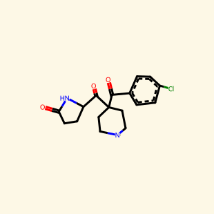 O=C1CCC(C(=O)C2(C(=O)c3ccc(Cl)cc3)CC[N]CC2)N1